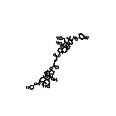 CC1(C)/C(=N/O[C@@H]2CCNC2)CC[C@@]2(C)C1C(CO)C(O)[C@@H]1[C@H]2CC[C@]2(C)C(OC(=O)/C=C/C(=O)OC3CC[C@H]4[C@@H]5C(O)C(CO)C6C(C)(C)/C(=N/O[C@@H]7CCNC7)CC[C@]6(C)[C@@H]5CC[C@]34C)CC[C@@H]12